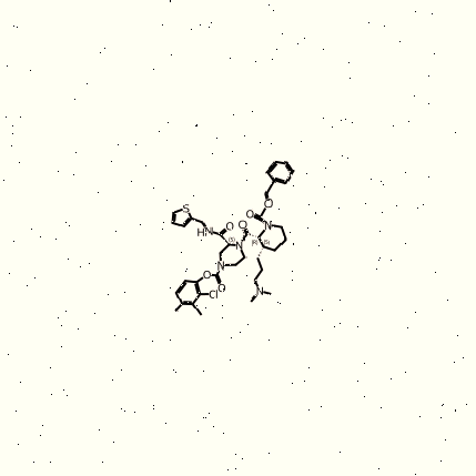 Cc1ccc(OC(=O)N2CCN(C(=O)[C@H]3[C@@H](CCCN(C)C)CCCN3C(=O)OCc3ccccc3)[C@H](C(=O)NCc3cccs3)C2)c(Cl)c1C